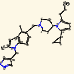 Cc1c(CN2CCC(n3c(CCC(F)(F)F)ccc3C3CC3)CC2)ccc2c1cc(C#N)n2Cc1cn[nH]c1